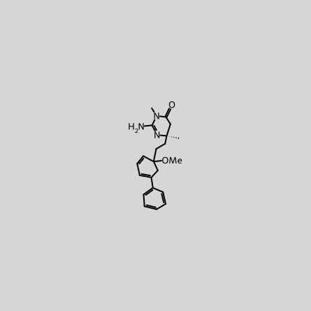 COC1(CC[C@]2(C)CC(=O)N(C)C(N)=N2)C=CC=C(c2ccccc2)C1